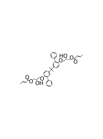 CC=CC(=O)OCC(O)COc1ccc(C(C)(C)c2ccc(OCC(O)COC(=O)C=CC)c(-c3ccccc3)c2)cc1-c1ccccc1